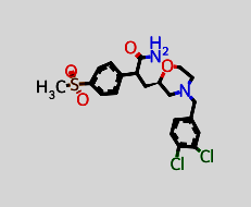 CS(=O)(=O)c1ccc(C(C[C@@H]2CN(Cc3ccc(Cl)c(Cl)c3)CCO2)C(N)=O)cc1